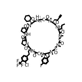 C#CCC[C@H]1C(=O)N[C@@H]([C@@H](C)CC)C(=O)N(C)CC(=O)N(C)CC(=O)N(C)[C@@H](Cc2ccc(I)cc2)C(=O)N(C)CC(=O)N[C@@H](CCc2ccc(C(F)(F)F)c(Cl)c2)C(=O)N2CCC[C@H]2C(=O)NC2(CCCC2)C(=O)N(C)[C@@H](C2CCCCC2)C(=O)N[C@H](C)CC(=O)N1C